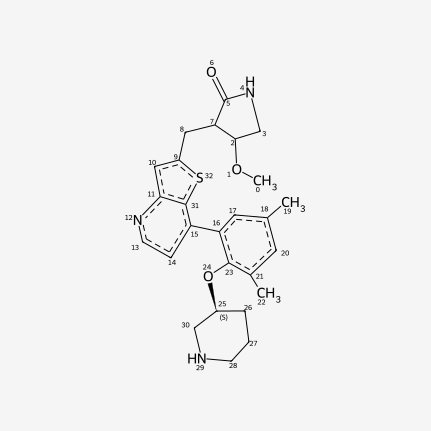 COC1CNC(=O)C1Cc1cc2nccc(-c3cc(C)cc(C)c3O[C@H]3CCCNC3)c2s1